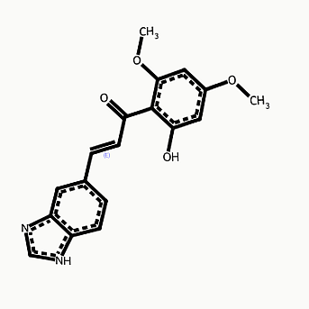 COc1cc(O)c(C(=O)/C=C/c2ccc3[nH]cnc3c2)c(OC)c1